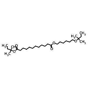 CCC(C)(C)OCCCCCCOC(=O)CCCCCCCCCCC(=O)OC(C)(C)CC